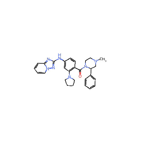 CN1CCN(C(=O)c2ccc(Nc3nc4ccccn4n3)cc2N2CCCC2)C(c2ccccc2)C1